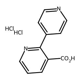 Cl.Cl.O=C(O)c1cccnc1-c1ccncc1